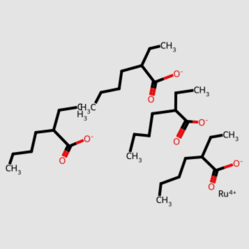 CCCCC(CC)C(=O)[O-].CCCCC(CC)C(=O)[O-].CCCCC(CC)C(=O)[O-].CCCCC(CC)C(=O)[O-].[Ru+4]